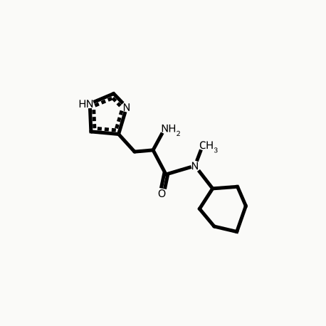 CN(C(=O)C(N)Cc1c[nH]cn1)C1CCCCC1